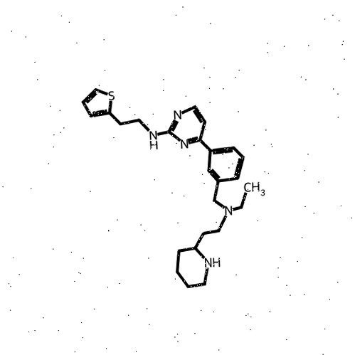 CCN(CCC1CCCCN1)Cc1cccc(-c2ccnc(NCCc3cccs3)n2)c1